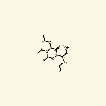 CCOC(CO)N(OCC)C(=O)N(OCC)OCC